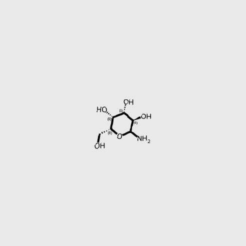 NC1O[C@H](CO)[C@H](O)[C@H](O)[C@H]1O